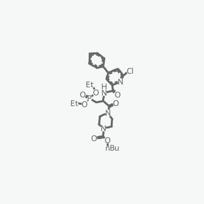 CCCCOC(=O)N1CCN(C(=O)C(CP(=O)(OCC)OCC)NC(=O)c2cc(-c3ccccc3)cc(Cl)n2)CC1